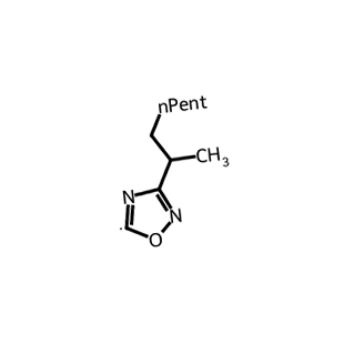 CCCCCCC(C)c1n[c]on1